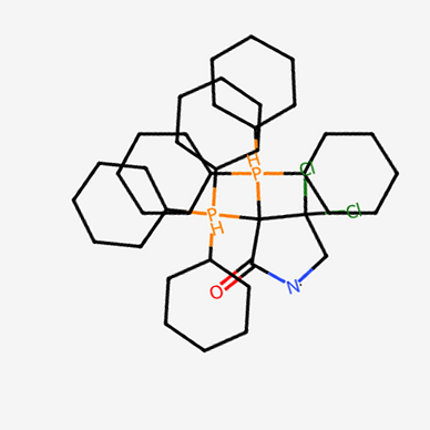 O=C1[N]CC(Cl)(Cl)C1([PH](C1CCCCC1)(C1CCCCC1)C1CCCCC1)[PH](C1CCCCC1)(C1CCCCC1)C1CCCCC1